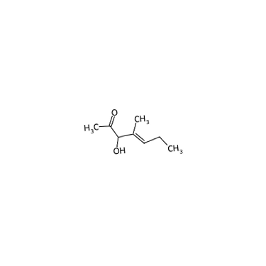 CC/C=C(\C)C(O)C(C)=O